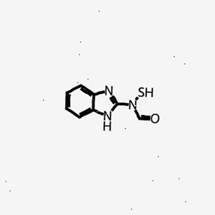 O=CN(S)c1nc2ccccc2[nH]1